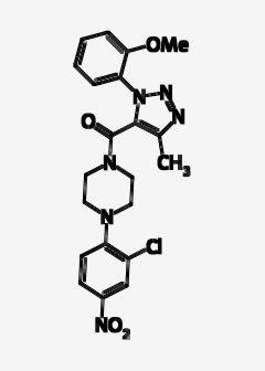 COc1ccccc1-n1nnc(C)c1C(=O)N1CCN(c2ccc([N+](=O)[O-])cc2Cl)CC1